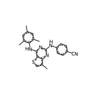 Cc1cc(C)c(Nc2nc(Nc3ccc(C#N)cc3)nc3c(C)csc23)c(C)c1